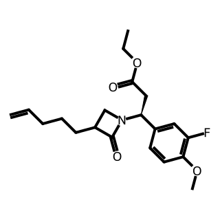 C=CCCCC1CN([C@@H](CC(=O)OCC)c2ccc(OC)c(F)c2)C1=O